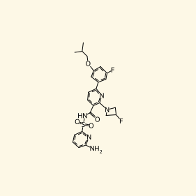 CC(C)COc1cc(F)cc(-c2ccc(C(=O)NS(=O)(=O)c3cccc(N)n3)c(N3CC(F)C3)n2)c1